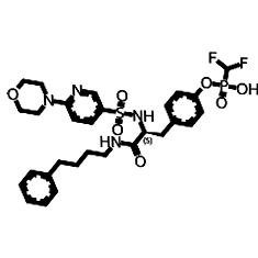 O=C(NCCCCc1ccccc1)[C@H](Cc1ccc(OP(=O)(O)C(F)F)cc1)NS(=O)(=O)c1ccc(N2CCOCC2)nc1